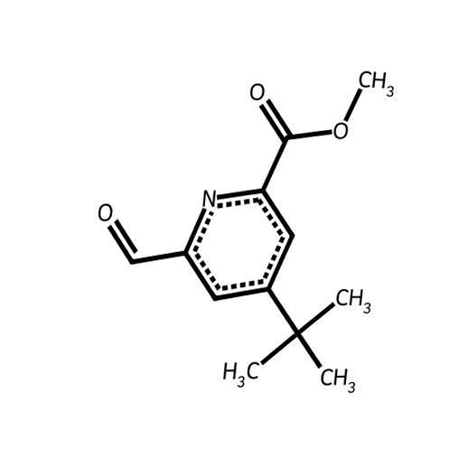 COC(=O)c1cc(C(C)(C)C)cc(C=O)n1